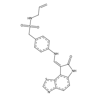 C=CCNS(=O)(=O)Cc1ccc(NC=C2C(=O)Nc3ccc4ncsc4c32)cc1